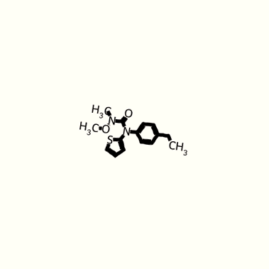 CCc1ccc(N(C(=O)N(C)OC)c2cccs2)cc1